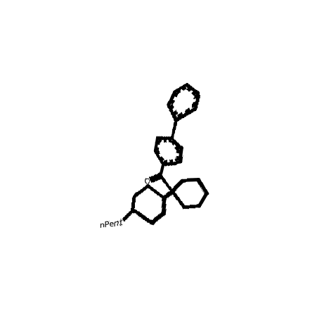 CCCCCC1CCC(C2(C(=O)c3ccc(-c4ccccc4)cc3)CCCCC2)CC1